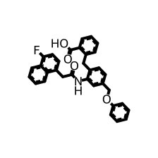 O=C(Cc1ccc(F)c2ccccc12)Nc1cc(COc2ccccc2)ccc1Cc1ccccc1C(=O)O